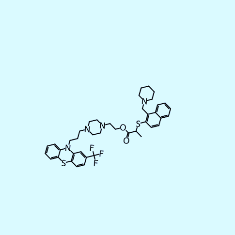 CC(Sc1ccc2ccccc2c1CN1CCCCC1)C(=O)OCCN1CCN(CCCN2c3ccccc3Sc3ccc(C(F)(F)F)cc32)CC1